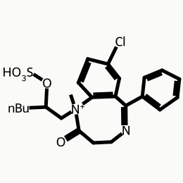 CCCCC(C[N+]1(C)C(=O)CC/N=C(/c2ccccc2)c2cc(Cl)ccc21)OS(=O)(=O)O